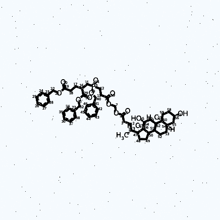 C[C@H](CCC(=O)OCOC(=O)CCP(=O)(CC(CCC(=O)OCc1ccccc1)C(=O)OCc1ccccc1)OCc1ccccc1)C1CCC2C3CC[C@@H]4C[C@H](O)CC[C@]4(C)C3C[C@H](O)[C@@]21C